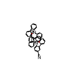 N#Cc1ccc2c(c1)c1ccccc1n2-c1cccc(C#N)c1-c1ccccc1-n1c2ccccc2c2cccc(-n3c4ccccc4c4ccccc43)c21